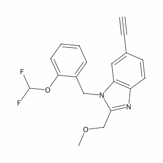 C#Cc1ccc2nc(COC)n(Cc3ccccc3OC(F)F)c2c1